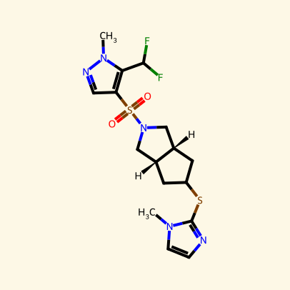 Cn1ccnc1SC1C[C@@H]2CN(S(=O)(=O)c3cnn(C)c3C(F)F)C[C@@H]2C1